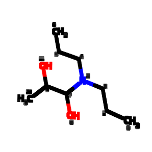 CCCN(CCC)C(O)C(C)O